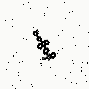 CCc1nc2ccccc2n1C1=CC=C(c2c3ccccc3c(-c3ccc(C4=CC(C)CC=C4)cc3)c3ccccc23)CC1